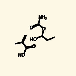 C=C(C)C(=O)O.CCC(O)OC(N)=O